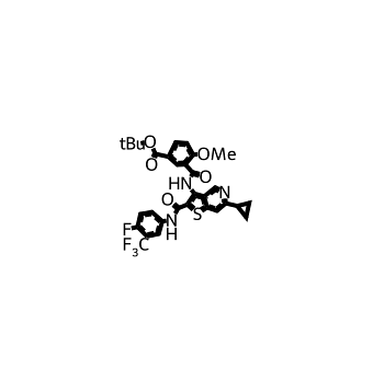 COc1ccc(C(=O)OC(C)(C)C)cc1C(=O)Nc1c(C(=O)Nc2ccc(F)c(C(F)(F)F)c2)sc2cc(C3CC3)ncc12